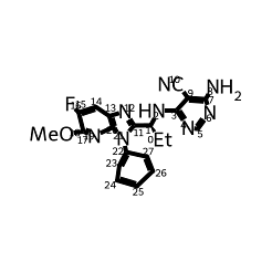 CC[C@H](Nc1ncnc(N)c1C#N)c1nc2cc(F)c(OC)nc2n1-c1ccccc1